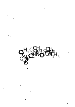 COC(=O)C(C)(C)Sc1cccc(NC(=O)C(c2ccc(CN3N=C(c4ccccc4)OCC3=O)cc2)C(C)C)c1